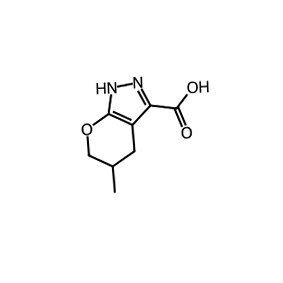 CC1COc2[nH]nc(C(=O)O)c2C1